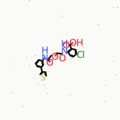 O=C(COCC(=O)Nc1ccc(Cl)cc1C(=O)O)Nc1cccc(-c2ccsc2)c1